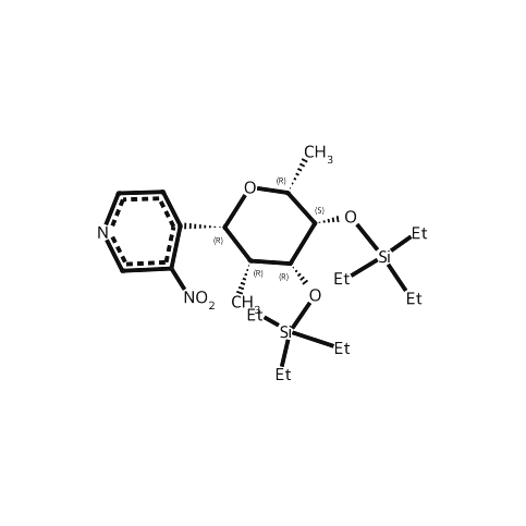 CC[Si](CC)(CC)O[C@@H]1[C@H](C)[C@H](c2ccncc2[N+](=O)[O-])O[C@H](C)[C@@H]1O[Si](CC)(CC)CC